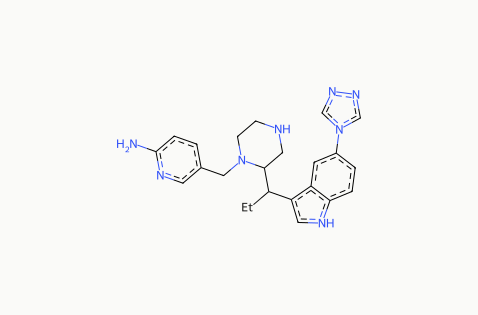 CCC(c1c[nH]c2ccc(-n3cnnc3)cc12)C1CNCCN1Cc1ccc(N)nc1